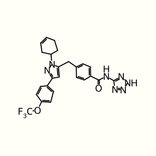 O=C(Nc1nn[nH]n1)c1ccc(Cc2cc(-c3ccc(OC(F)(F)F)cc3)nn2C2CC=CCC2)cc1